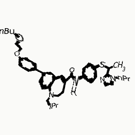 CCCCOCCOc1ccc(-c2ccc3c(c2)C=C(C(=O)Nc2ccc(SC(C)c4nccn4CCC)cc2)CCN3CC(C)C)cc1